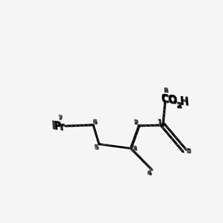 C=C(CC(C)CCC(C)C)C(=O)O